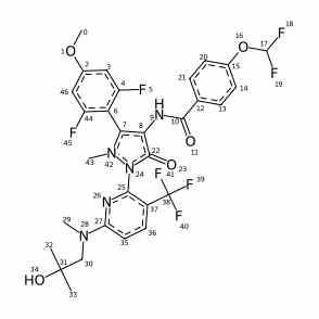 COc1cc(F)c(-c2c(NC(=O)c3ccc(OC(F)F)cc3)c(=O)n(-c3nc(N(C)CC(C)(C)O)ccc3C(F)(F)F)n2C)c(F)c1